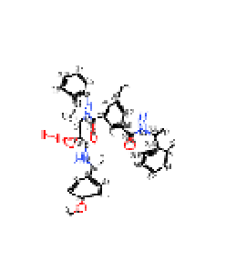 COc1ccc([C@@H](C)NC[C@@H](O)[C@H](Cc2ccccc2)NC(=O)c2cc(C)cc(C(=O)NC(C)c3ccccc3C)c2)cc1